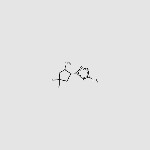 Cc1noc([C@@H]2CC(F)(F)CN2C)n1